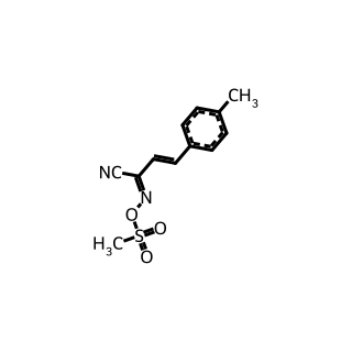 Cc1ccc(C=CC(C#N)=NOS(C)(=O)=O)cc1